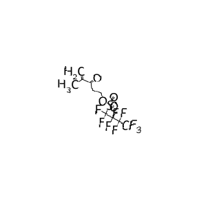 C=C(C)C(=O)CCOS(=O)(=O)C(F)(F)C(F)(F)C(F)(F)C(F)(F)F